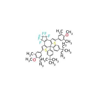 COc1c(C)cc(-c2cc3c(s2)C(c2ccc(C(C)(C)C)cc2)(c2ccc(C(C)(C)C)cc2)c2sc(-c4cc(C)c(OC)c(C)c4)cc2C2=C3C(F)(F)C(F)(F)C2(F)F)cc1C